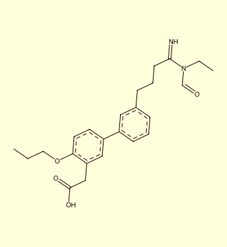 CCCOc1ccc(-c2cccc(CCCC(=N)N(C=O)CC)c2)cc1CC(=O)O